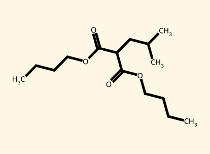 CCCCOC(=O)C(CC(C)C)C(=O)OCCCC